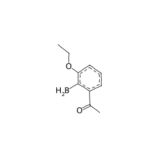 Bc1c(OCC)cccc1C(C)=O